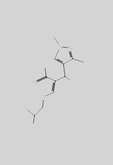 Cn1cc(C(O)/C(=C/NCC(F)F)C(=N)Cl)c(Br)n1